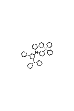 c1ccc(-c2cc(N(c3ccccc3)c3ccccc3)cc(N(c3ccccc3)c3cccc4c3-c3ccccc3C4(c3ccccc3)c3ccccc3)c2)cc1